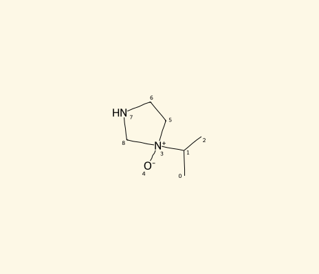 CC(C)[N+]1([O-])CCNC1